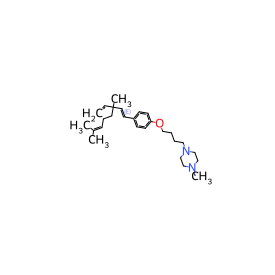 C=CC(C)(/C=C/c1ccc(OCCCCN2CCN(C)CC2)cc1)CCC=C(C)C